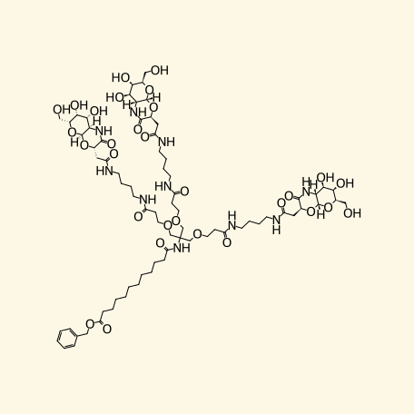 O=C(CCOCC(COCCC(=O)NCCCCNC(=O)C[C@@H]1O[C@H]2O[C@H](CO)[C@H](O)[C@H](O)[C@H]2NC1=O)(COCCC(=O)NCCCCNC(=O)C[C@@H]1O[C@H]2O[C@H](CO)[C@H](O)[C@H](O)[C@H]2NC1=O)NC(=O)CCCCCCCCCCC(=O)OCc1ccccc1)NCCCCNC(=O)C[C@@H]1O[C@H]2O[C@H](CO)[C@H](O)[C@H](O)[C@H]2NC1=O